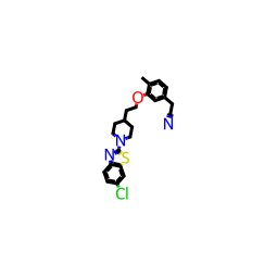 Cc1ccc(CC#N)cc1OCCC1CCN(c2nc3ccc(Cl)cc3s2)CC1